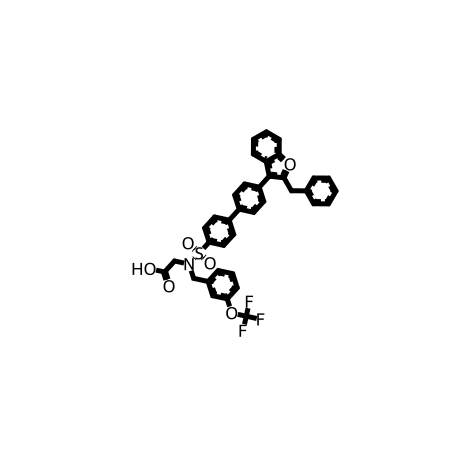 O=C(O)CN(Cc1cccc(OC(F)(F)F)c1)S(=O)(=O)c1ccc(-c2ccc(-c3c(Cc4ccccc4)oc4ccccc34)cc2)cc1